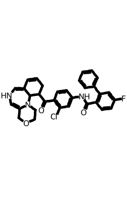 O=C(Nc1ccc(C(=O)C2CC=CC3=CNC=C4COCCN4C32)c(Cl)c1)c1ccc(F)cc1-c1ccccc1